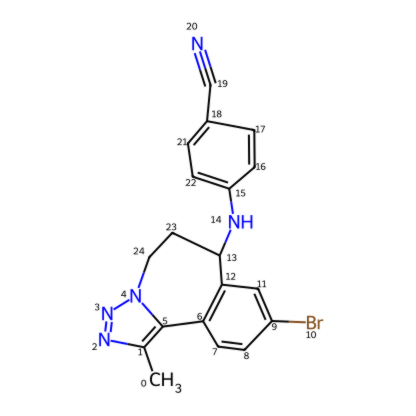 Cc1nnn2c1-c1ccc(Br)cc1C(Nc1ccc(C#N)cc1)CC2